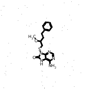 COC(CCc1ccccc1)CSn1c(=O)[nH]c2c(N)ncnc21